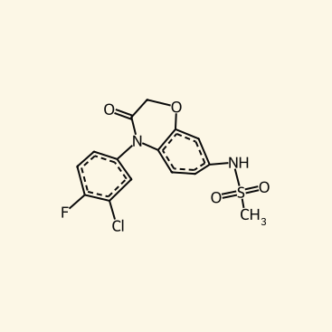 CS(=O)(=O)Nc1ccc2c(c1)OCC(=O)N2c1ccc(F)c(Cl)c1